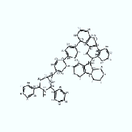 C1=CC2=C(CC1)C1CCCCC1N2C1Cc2c(oc3c2C(C2=CC=C(C4C=CC(C5C6CC(c7ccccc7)NC(c7ccccc7)N65)=CC4)CC2)CC=C3)C2=C1CCC=C2